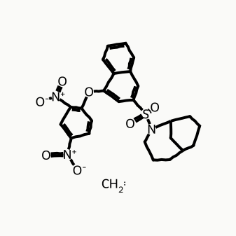 O=[N+]([O-])c1ccc(Oc2cc(S(=O)(=O)N3CCCC4CCCC3C4)cc3ccccc23)c([N+](=O)[O-])c1.[CH2]